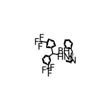 BCC(c1cccc(C(F)(F)F)c1)c1cccc(C(F)(F)F)c1.c1ccc(Cc2ncc[nH]2)cc1